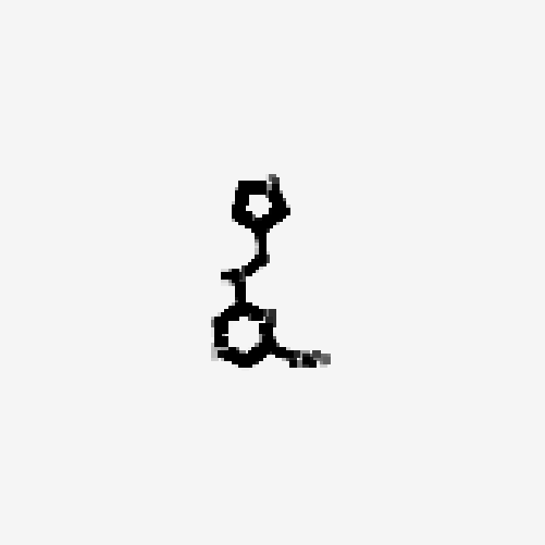 COc1cncc(NCc2ccoc2)n1